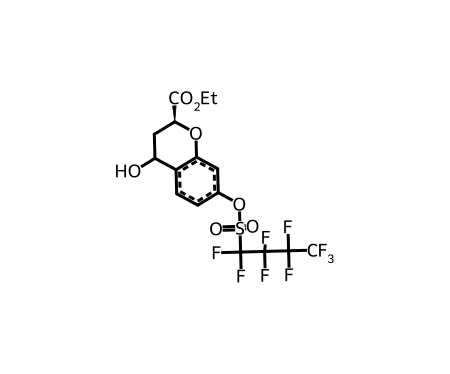 CCOC(=O)[C@@H]1CC(O)c2ccc(OS(=O)(=O)C(F)(F)C(F)(F)C(F)(F)C(F)(F)F)cc2O1